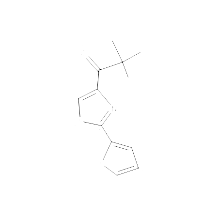 CC(C)(C)C(=O)c1csc(-c2cccs2)n1